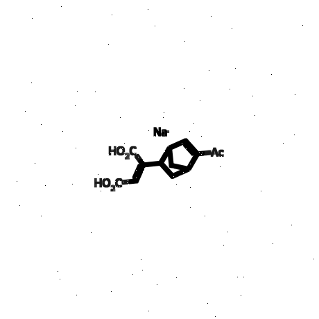 CC(=O)C1=CC2CC1CC2C(=CC(=O)O)C(=O)O.[Na]